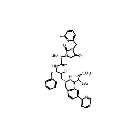 Cc1cccc(CN2C(=O)CN([C@H](C(=O)N[C@@H](Cc3ccccc3)[C@@H](O)C[C@@H](Cc3ccc(-c4ccccn4)cc3)NC(=O)[C@@H](NC(=O)O)C(C)(C)C)C(C)(C)C)C2=O)n1